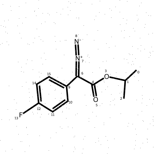 CC(C)OC(=O)C(=[N+]=[N-])c1ccc(F)cc1